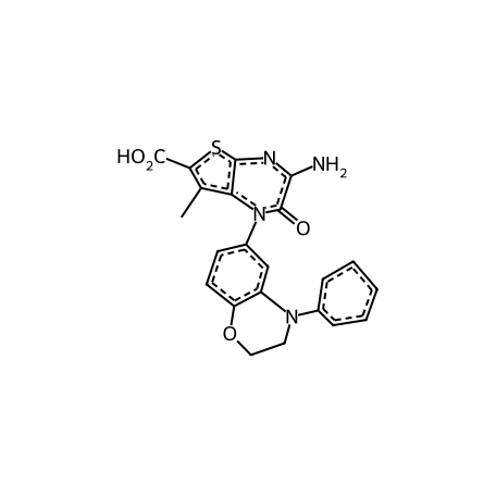 Cc1c(C(=O)O)sc2nc(N)c(=O)n(-c3ccc4c(c3)N(c3ccccc3)CCO4)c12